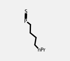 CCCCCCCP=S